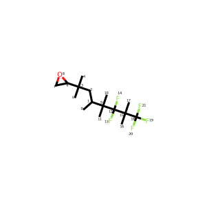 CC(CC(C)(C)C1CO1)C(C)(C)C(F)(F)C(C)(C)C(F)(F)F